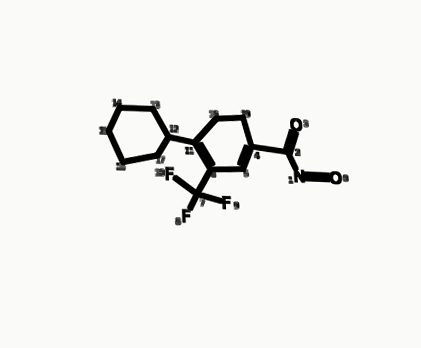 O=NC(=O)C1=CC(C(F)(F)F)=C(C2CCCCC2)CC1